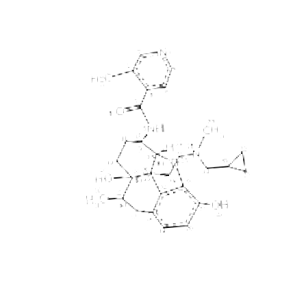 Cc1cnccc1C(=O)N[C@@H]1CC[C@@]2(O)[C@H](C)Cc3ccc(O)c4c3[C@@]2(CCN(C)CC2CC2)[C@H]1O4